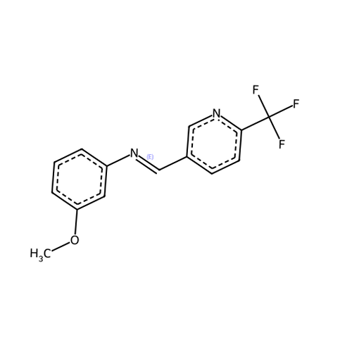 COc1cccc(/N=C/c2ccc(C(F)(F)F)nc2)c1